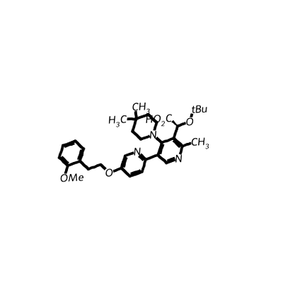 COc1ccccc1CCOc1ccc(-c2cnc(C)c([C@H](OC(C)(C)C)C(=O)O)c2N2CCC(C)(C)CC2)nc1